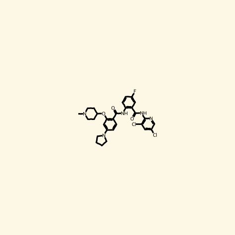 CN1CCC(Oc2cc(N3CCCC3)ccc2C(=O)Nc2ccc(F)cc2C(=O)Nc2ncc(Cl)cc2Cl)CC1